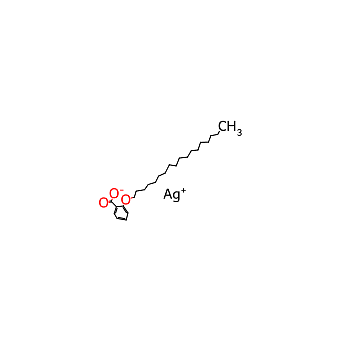 CCCCCCCCCCCCCCCCCCOc1ccccc1C(=O)[O-].[Ag+]